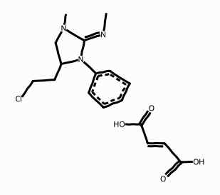 CN=C1N(C)CC(CCCl)N1c1ccccc1.O=C(O)C=CC(=O)O